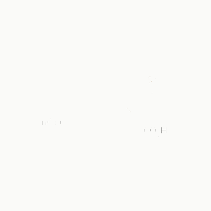 CCCCCCCCCCCC(C=S)SC(C)(C)C(=O)O